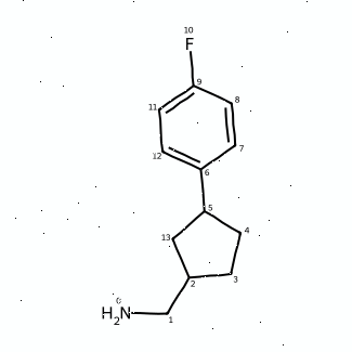 NCC1CCC(c2ccc(F)cc2)C1